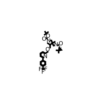 CC(C)(C)OC(=O)N1CC(COCc2cccc(-c3ccc(C(F)(F)F)cc3)n2)C2(C1)CN(C(=O)[C@H]1CC1(C)C)C2